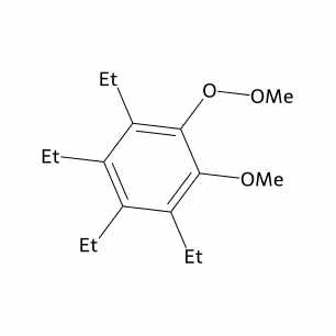 CCc1c(CC)c(CC)c(OOC)c(OC)c1CC